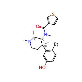 CCc1ccc(O)cc1[C@@]1(C)CCN(C)[C@H](C)[C@@H]1N(C)C(=O)c1ccsc1